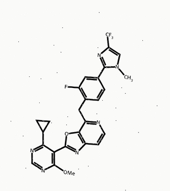 COc1ncnc(C2CC2)c1-c1nc2ccnc(Cc3ccc(-c4nc(C(F)(F)F)cn4C)cc3F)c2o1